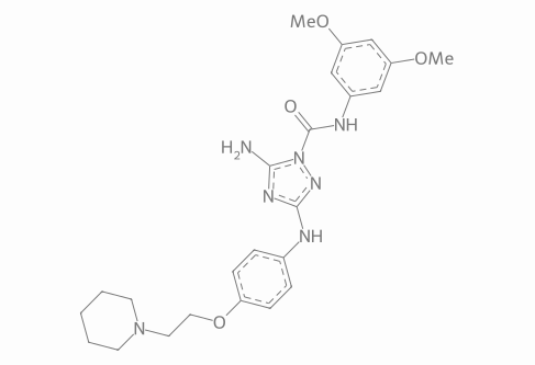 COc1cc(NC(=O)n2nc(Nc3ccc(OCCN4CCCCC4)cc3)nc2N)cc(OC)c1